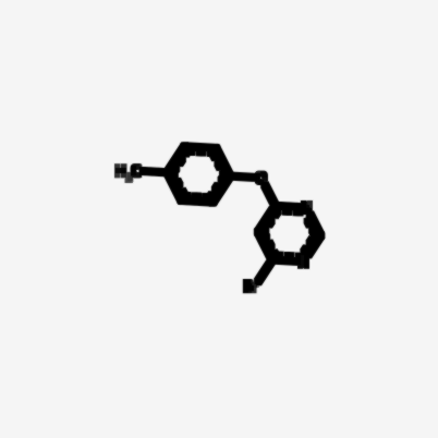 Cc1ccc(Oc2cc(Br)ncn2)cc1